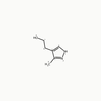 Cc1n[nH]cc1CCO